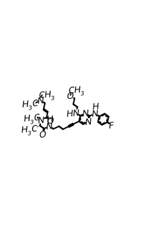 COCCCNc1nc(Nc2ccc(F)cc2)ncc1C#CCCCNC(=O)[C@H](C)N(C)C(=O)/C=C/CN(C)C